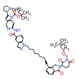 CN1CCC[C@@H]1c1cc2cnc(NC(=O)c3ccc4c(cnn4CCCCCCCC#Cc4cccc5c4CN(C4CCC(=O)N(COCC[Si](C)(C)C)C4=O)C5=O)c3)cc2n1C(=O)OC(C)(C)C